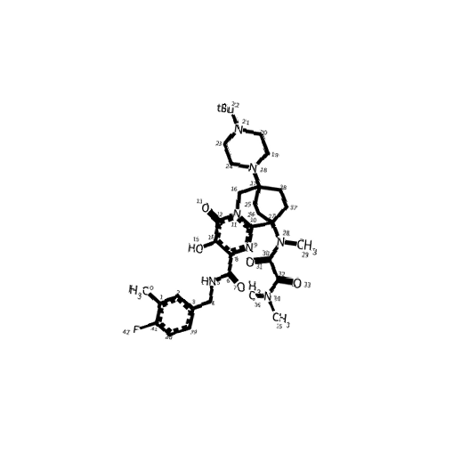 Cc1cc(CNC(=O)c2nc3n(c(=O)c2O)CC2(N4CCN(C(C)(C)C)CC4)CCC3(N(C)C(=O)C(=O)N(C)C)CC2)ccc1F